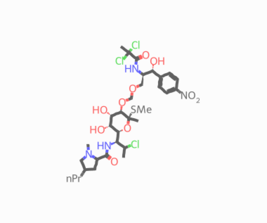 CCCC1CC(C(=O)N[C@H](C(C)Cl)[C@H]2O[C@](C)(SC)[C@H](OCOC[C@@H](NC(=O)C(C)(Cl)Cl)[C@H](O)c3ccc([N+](=O)[O-])cc3)[C@@H](O)[C@H]2O)N(C)C1